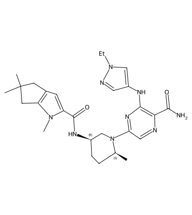 CCn1cc(Nc2nc(N3C[C@H](NC(=O)c4cc5c(n4C)CC(C)(C)C5)CC[C@@H]3C)cnc2C(N)=O)cn1